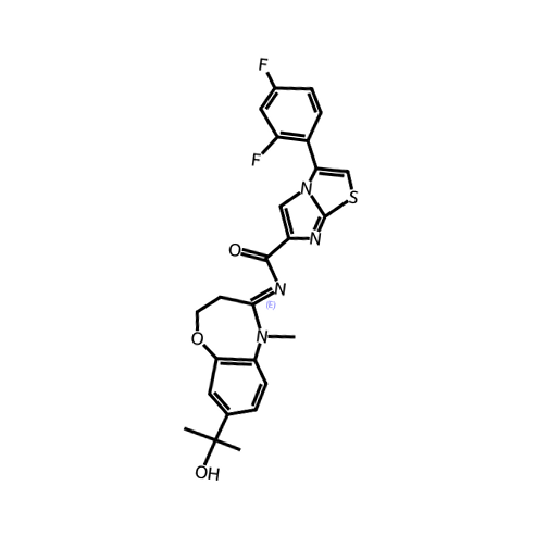 CN1/C(=N/C(=O)c2cn3c(-c4ccc(F)cc4F)csc3n2)CCOc2cc(C(C)(C)O)ccc21